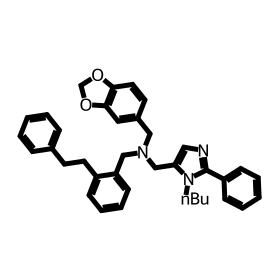 CCCCn1c(CN(Cc2ccc3c(c2)OCO3)Cc2ccccc2CCc2ccccc2)cnc1-c1ccccc1